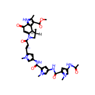 COC(=O)c1c(C)[nH]c2c1[C@@]13C[C@@H]1CN(C(=O)/C=C/c1cc(NC(=O)c4cc(NC(=O)c5cc(NC(C)=O)cn5C)cn4C)cn1C)C3=CC2=O